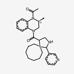 CC(=O)N1c2ccccc2N(C(=O)C2CNC(c3cccnc3)S23CCCCCCC3)C[C@@H]1C